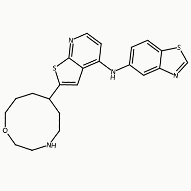 c1cc(Nc2ccc3scnc3c2)c2cc(C3CCCOCCNCC3)sc2n1